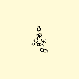 COc1ccc(-c2nc(-c3ccncc3)nn2CCN(C(=O)Cc2cccc3ccccc23)C(C)C)cc1Cl